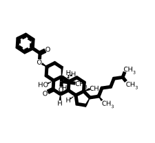 CC(C)CCC[C@@H](C)[C@H]1CC[C@H]2[C@@H]3[C@H]4O[C@H](C)[C@@]5(CC[C@H](OC(=O)c6ccccc6)C[C@]5(O)C4=O)[C@H]3CC[C@]12C